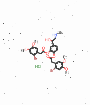 CCOc1cc(Br)c(CC(=O)Oc2ccc(C(O)CNC(C)(C)C)cc2OC(=O)Cc2cc(OCC)c(OCC)cc2Br)cc1OCC.Cl